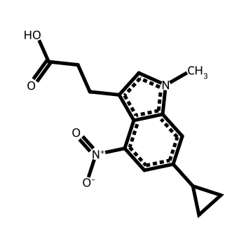 Cn1cc(CCC(=O)O)c2c([N+](=O)[O-])cc(C3CC3)cc21